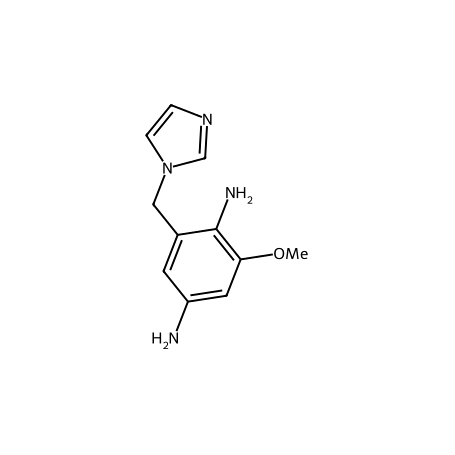 COc1cc(N)cc(Cn2ccnc2)c1N